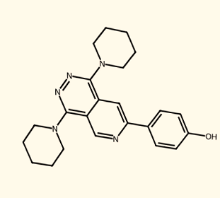 Oc1ccc(-c2cc3c(N4CCCCC4)nnc(N4CCCCC4)c3cn2)cc1